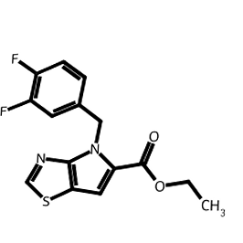 CCOC(=O)c1cc2scnc2n1Cc1ccc(F)c(F)c1